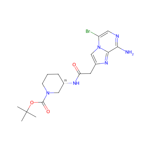 CC(C)(C)OC(=O)N1CCC[C@H](NC(=O)Cc2cn3c(Br)cnc(N)c3n2)C1